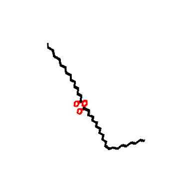 CCCCCCCC/C=C\CCCCCCCCCCCC(=O)OC(=O)CCCCCCCCCCCCCCC